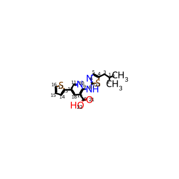 CC(C)Cc1cnc(Nc2ncc(-c3cccs3)cc2C(=O)O)s1